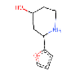 OC1CCNC(c2ccco2)C1